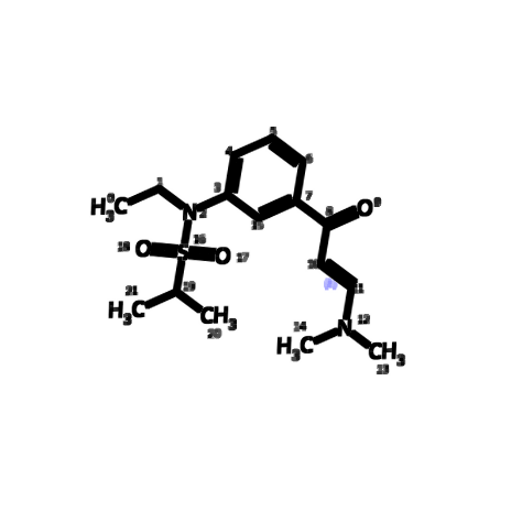 CCN(c1cccc(C(=O)/C=C/N(C)C)c1)S(=O)(=O)C(C)C